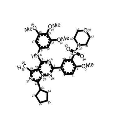 COc1ccc(-c2nc(Nc3cc(OC)c(OC)c(OC)c3)c3c(C)nc(C4CCCC4)n3n2)cc1S(=O)(=O)N1CCOCC1